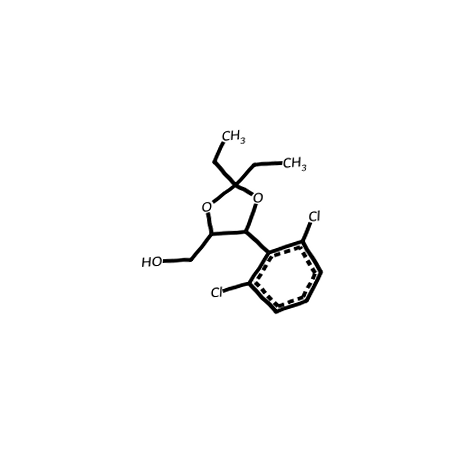 CCC1(CC)OC(CO)C(c2c(Cl)cccc2Cl)O1